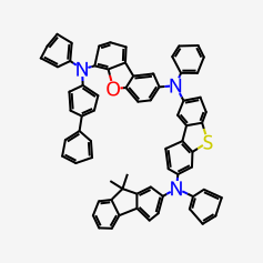 CC1(C)c2ccccc2-c2ccc(N(c3ccccc3)c3ccc4c(c3)sc3ccc(N(c5ccccc5)c5ccc6oc7c(N(c8ccccc8)c8ccc(-c9ccccc9)cc8)cccc7c6c5)cc34)cc21